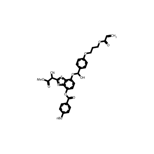 C=CC(=O)OCCCOc1ccc(C(O)Oc2ccc(OC(=O)c3ccc(CCCC)cc3)c3nc(C(C#N)C(=O)OC)sc23)cc1